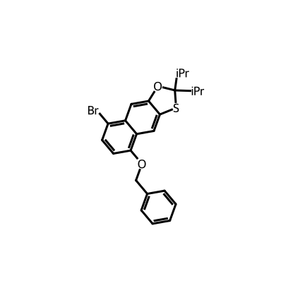 CC(C)C1(C(C)C)Oc2cc3c(Br)ccc(OCc4ccccc4)c3cc2S1